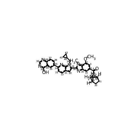 COc1cc(C(=O)N2C[C@H]3CC[C@@H]2[C@@H]3N)cc2nc(-c3cc4ccc(-c5ccc6ncnc(O)c6c5)nc4n3CC3CC3)n(C)c12